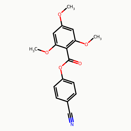 COc1cc(OC)c(C(=O)Oc2ccc(C#N)cc2)c(OC)c1